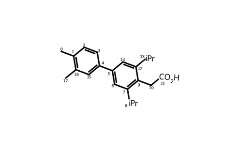 Cc1ccc(-c2cc(C(C)C)c(CC(=O)O)c(C(C)C)c2)cc1C